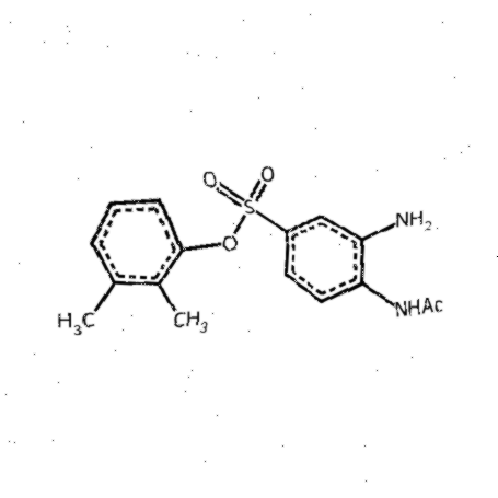 CC(=O)Nc1ccc(S(=O)(=O)Oc2cccc(C)c2C)cc1N